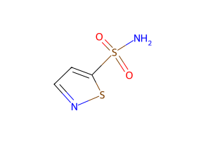 NS(=O)(=O)c1ccns1